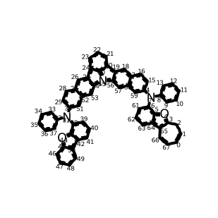 C1=CCc2oc3c(N(c4ccccc4)c4ccc5cc6c7cccc8c9cc%10ccc(N(c%11ccccc%11)c%11cccc%12c%11oc%11ccccc%11%12)cc%10cc9n(c6cc5c4)c78)cccc3c2C=C1